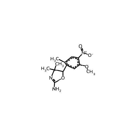 COc1cc(C2OC(N)=NC2(C)C)c(C)cc1[N+](=O)[O-]